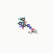 CC(C)(C)OC(=O)N1CC(n2cc(-c3cc(NC(=O)c4cc(F)cc(C(F)(F)F)c4)c4c(c3)C(=O)NC4c3cc(F)ccc3Cl)cn2)C1